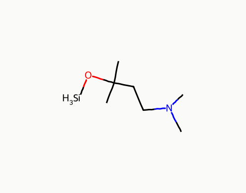 CN(C)CCC(C)(C)O[SiH3]